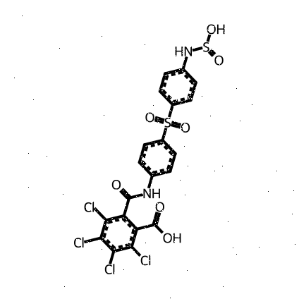 O=C(O)c1c(Cl)c(Cl)c(Cl)c(Cl)c1C(=O)Nc1ccc(S(=O)(=O)c2ccc(NS(=O)O)cc2)cc1